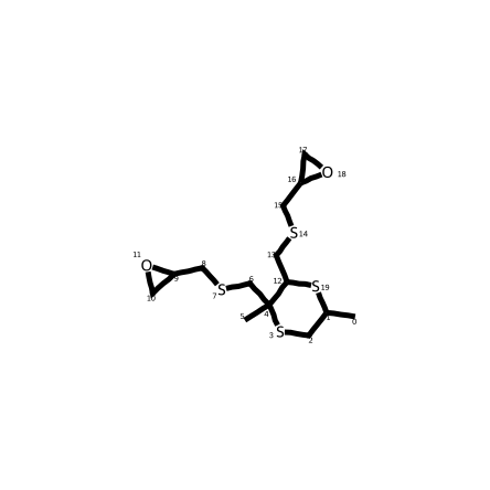 CC1CSC(C)(CSCC2CO2)C(CSCC2CO2)S1